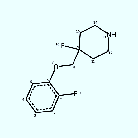 Fc1ccccc1OCC1(F)CCNCC1